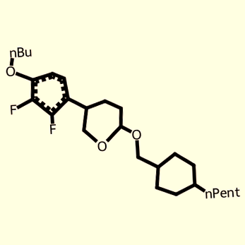 CCCCCC1CCC(COC2CCC(c3ccc(OCCCC)c(F)c3F)CO2)CC1